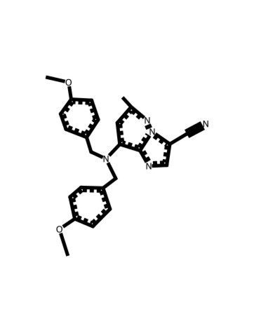 COc1ccc(CN(Cc2ccc(OC)cc2)c2cc(C)nn3c(C#N)cnc23)cc1